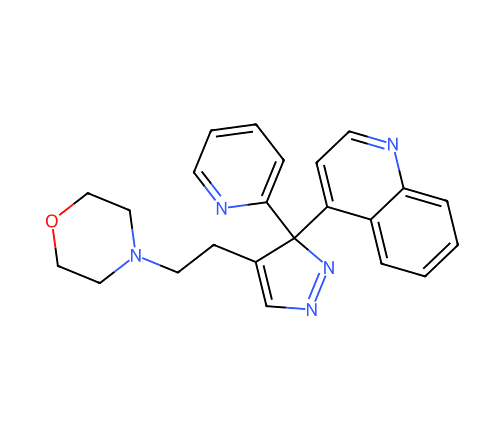 C1=C(CCN2CCOCC2)C(c2ccccn2)(c2ccnc3ccccc23)N=N1